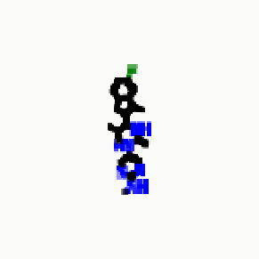 C=C(Nc1cnc(NC)nc1)NC(C1=C(C)c2cc(F)ccc2C1)C(C)C